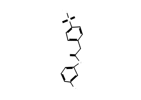 NS(=O)(=O)c1ccc(CC(=O)Nc2cccc(O)c2)cc1